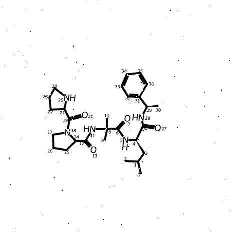 CC(C)C[C@@H](NC(=O)C(C)(C)NC(=O)C1CCCN1C(=O)C1CCCN1)C(=O)N[C@H](C)c1ccccc1